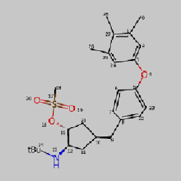 Cc1cc(Oc2ccc(C[C@H]3C[C@@H](NC(C)(C)C)[C@H](OS(C)(=O)=O)C3)cc2)cc(C)c1C